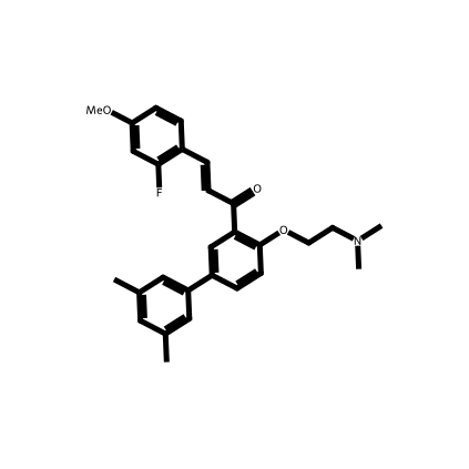 COc1ccc(/C=C/C(=O)c2cc(-c3cc(C)cc(C)c3)ccc2OCCN(C)C)c(F)c1